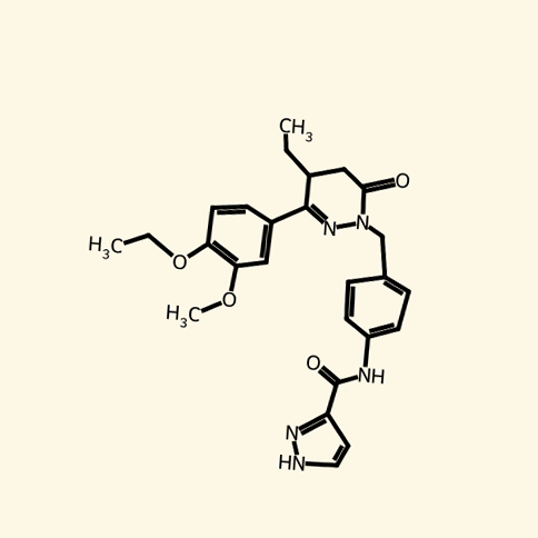 CCOc1ccc(C2=NN(Cc3ccc(NC(=O)c4cc[nH]n4)cc3)C(=O)CC2CC)cc1OC